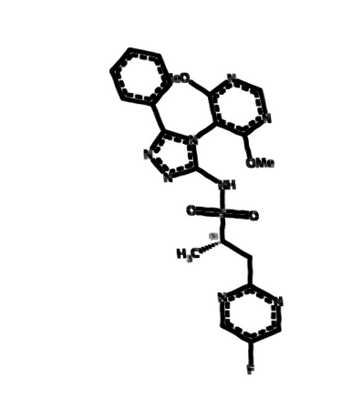 COc1ncnc(OC)c1-n1c(NS(=O)(=O)[C@@H](C)Cc2ncc(F)cn2)nnc1-c1ccccc1